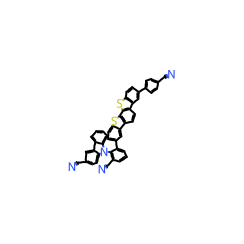 N#Cc1ccc(-c2ccc3sc4c(ccc5c6cc(-c7cccc(C#N)c7-n7c8ccccc8c8cc(C#N)ccc87)ccc6sc54)c3c2)cc1